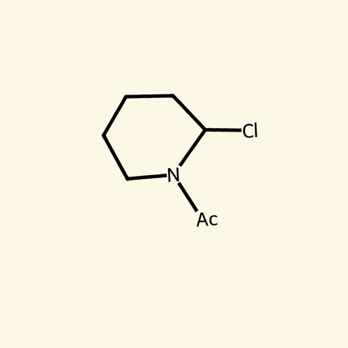 CC(=O)N1CCCCC1Cl